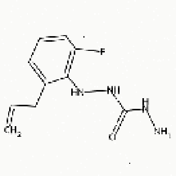 C=CCc1cc[c]c(F)c1NNC(=O)NN